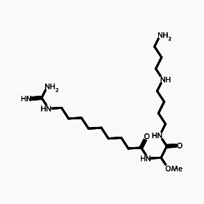 COC(NC(=O)CCCCCCCCNC(=N)N)C(=O)NCCCCNCCCN